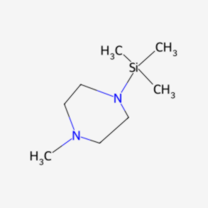 CN1CCN([Si](C)(C)C)CC1